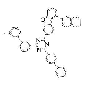 Cc1cccc(-c2cccc(-c3nc(-c4ccc(-c5ccccc5)cc4)nc(-c4ccc5c(c4)oc4cccc(-c6ccc7ccccc7c6)c45)n3)c2)c1